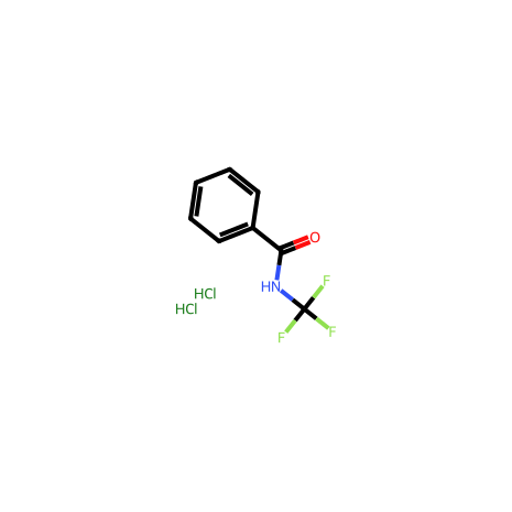 Cl.Cl.O=C(NC(F)(F)F)c1ccccc1